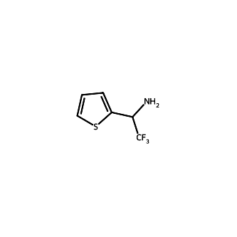 NC(c1cccs1)C(F)(F)F